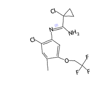 Cc1cc(Cl)c(/N=C(\N)C2(Cl)CC2)cc1OCC(F)(F)F